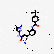 Cc1c(NC(=O)c2ccc(C(C)(C)C)cc2)cccc1-c1cc(Nc2cc(C)n(C)n2)c(=O)n(C)c1